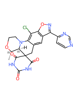 C[C@@H]1OCCN2c3c(cc4c(-c5ccncn5)noc4c3Cl)CC3(C(=O)NC(=O)NC3=O)[C@@H]12